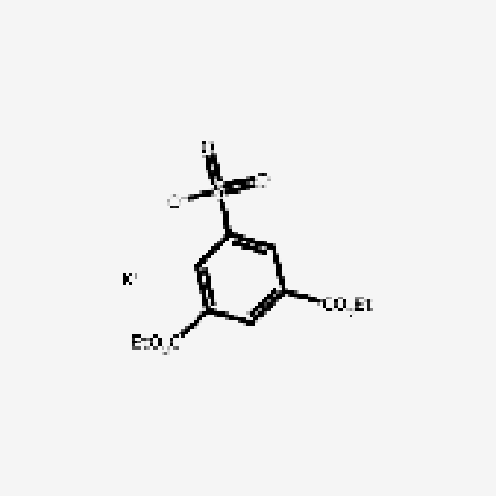 CCOC(=O)c1cc(C(=O)OCC)cc(S(=O)(=O)[O-])c1.[K+]